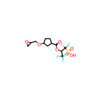 O=C(OC(C(F)(F)F)C(F)(F)S(=O)(=O)O)C1CCC(OCC2CO2)C1